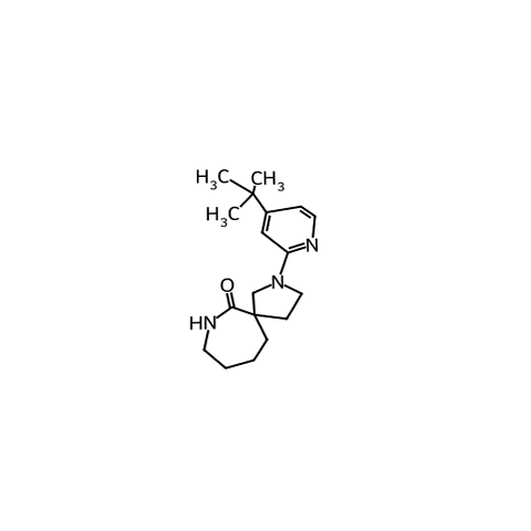 CC(C)(C)c1ccnc(N2CCC3(CCCCNC3=O)C2)c1